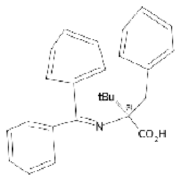 CC(C)(C)[C@@](Cc1ccccc1)(N=C(c1ccccc1)c1ccccc1)C(=O)O